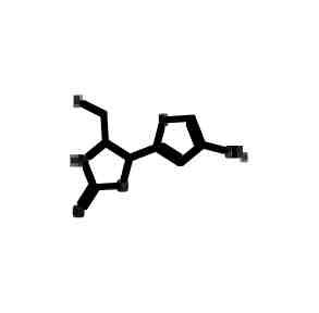 Cc1csc(C2OC(=O)NC2CF)c1